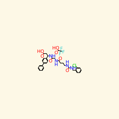 O=C(O)C(F)(F)F.O=C(O)CC(NC(=O)CNC(=O)CCCNC(=O)NCc1ccccc1Cl)c1ccc(-c2ccccc2)cc1